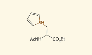 CCOC(=O)C(C[SH]1C=CC=C1)NC(C)=O